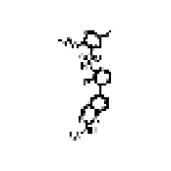 CNc1ncc2cc(-c3cccc(NS(=O)(=O)c4cc(Cl)cnc4OC)c3F)ccc2n1